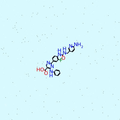 Nc1ccc(CNC(=O)Nc2ccc(-c3ncc(C(=O)O)c(Nc4ccccc4)n3)cc2F)cn1